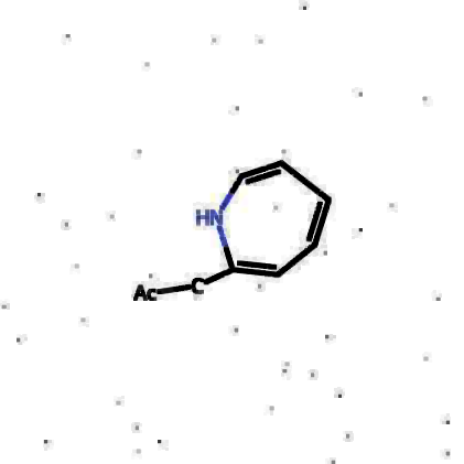 CC(=O)CC1=CC=CC=CN1